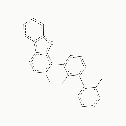 Cc1ccccc1-c1cccc(-c2c(C)ccc3c2oc2ccccc23)[n+]1C